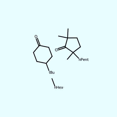 CC(C)(C)C1CCC(=O)CC1.CCCCCC1(C)CCC(C)(C)C1=O.C[CH]CCCCC